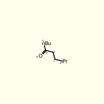 [CH2]C(C)CCC(=O)CCCC